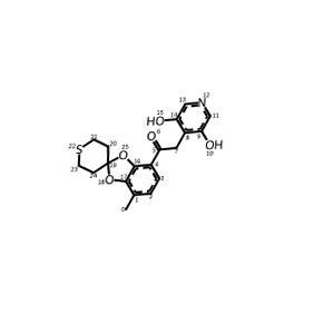 Cc1ccc(C(=O)Cc2c(O)cncc2O)c2c1OC1(CCSCC1)O2